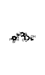 C=CC(O)[C@H]1CN(C)C(=O)c2c3c(nn2C1)C[C@@H](C)N(C(=O)Nc1ccc(F)c(Br)c1)C3